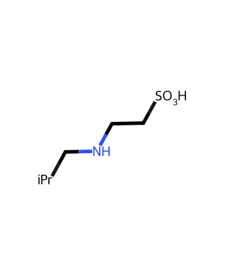 CC(C)CNCCS(=O)(=O)O